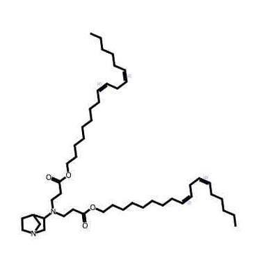 CCCCC/C=C\C/C=C\CCCCCCCCOC(=O)CCN(CCC(=O)OCCCCCCCC/C=C\C/C=C\CCCCC)C1CN2CCC1C2